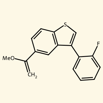 C=C(OC)c1ccc2scc(-c3ccccc3F)c2c1